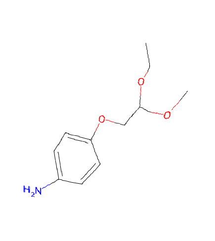 CCOC(COc1ccc(N)cc1)OC